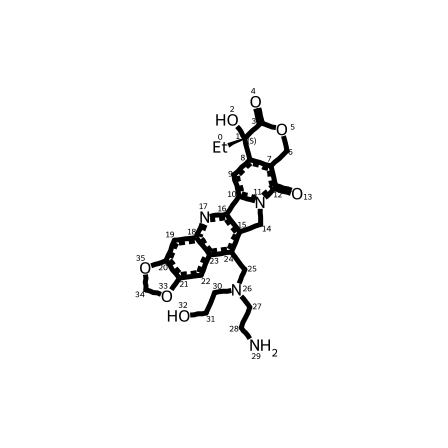 CC[C@@]1(O)C(=O)OCc2c1cc1n(c2=O)Cc2c-1nc1cc3c(cc1c2CN(CCN)CCO)OCO3